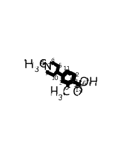 Cc1cc(C2CCN(C)CC2)ccc1C(=O)O